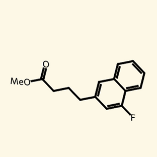 COC(=O)CCCc1cc(F)c2ccccc2c1